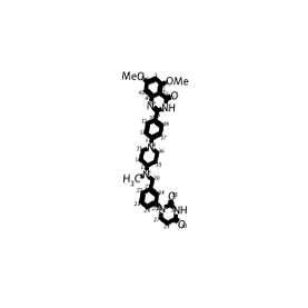 COc1cc(OC)c2c(=O)[nH]c(-c3ccc(N4CCC(N(C)Cc5cccc(N6CCC(=O)NC6=O)c5)CC4)cc3)nc2c1